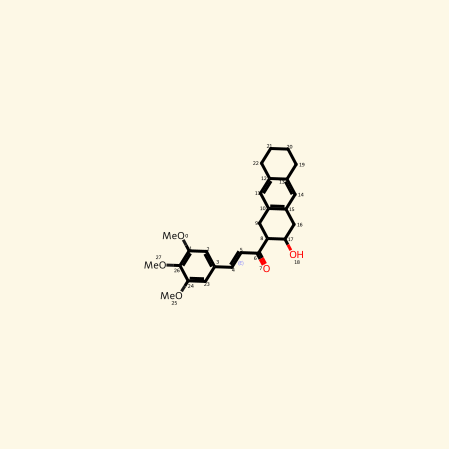 COc1cc(/C=C/C(=O)C2Cc3cc4c(cc3CC2O)CCCC4)cc(OC)c1OC